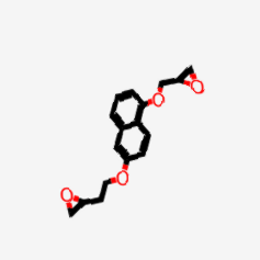 c1cc(OCC2CO2)c2ccc(OCCC3CO3)cc2c1